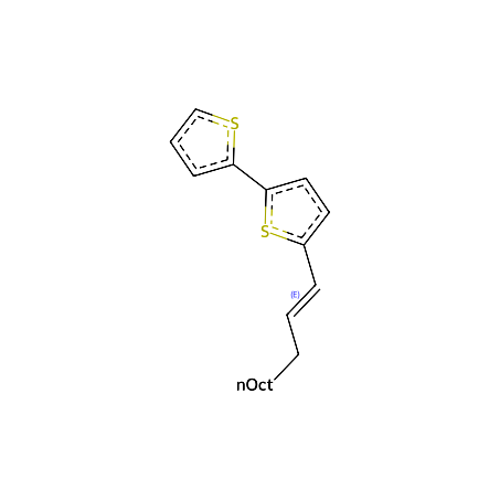 CCCCCCCCC/C=C/c1ccc(-c2cccs2)s1